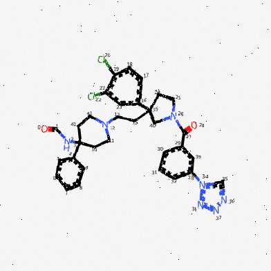 O=CNC1(c2ccccc2)CCN(CCC2(c3ccc(Cl)c(Cl)c3)CCN(C(=O)c3cccc(-n4cnnn4)c3)C2)CC1